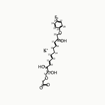 O=C([O-])COC[C@H](O)[C@H](O)C=CC=CCCC=C[C@H](O)COc1ccc(F)cc1.[K+]